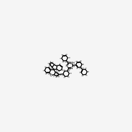 C1=CC2C3C=CCCC3C3(C4=CCCC=C4OC4C=CC(C5CCCC(C6=NC(C7=CC(C8=CCCCC8)CC=C7)NC(C7CC=CCC7)=N6)C5)=CC43)C2C=C1